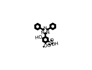 COc1cc(O)c(-c2nc(-c3ccccc3)nc(-c3ccccc3)n2)cc1S(=O)(=O)O